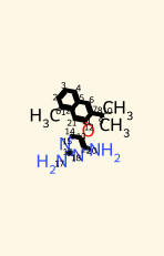 Cc1cccc2cc(C(C)C)c(Oc3cnc(N)nc3N)cc12